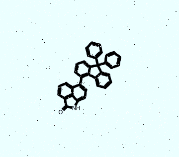 O=C1Nc2ccc(-c3cccc4c3-c3ccccc3C4(c3ccccc3)c3ccccc3)c3cccc1c23